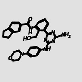 Nc1nc(Nc2ccc(N3CCOCC3)cc2)nc(-c2cccc(NC(=O)c3ccc4c(c3)CCC4)c2CO)n1